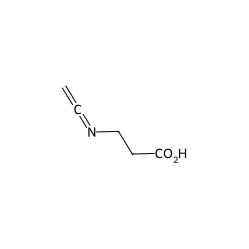 C=C=NCCC(=O)O